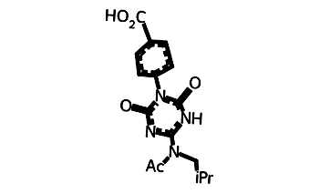 CC(=O)N(CC(C)C)c1nc(=O)n(-c2ccc(C(=O)O)cc2)c(=O)[nH]1